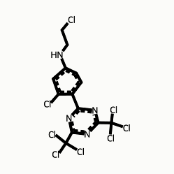 ClCCNc1ccc(-c2nc(C(Cl)(Cl)Cl)nc(C(Cl)(Cl)Cl)n2)c(Cl)c1